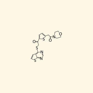 O=C(CSc1ncnc2sccc12)c1ccc(CC(=O)N2CCOCC2)s1